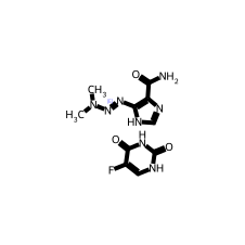 CN(C)/N=N/c1[nH]cnc1C(N)=O.O=c1[nH]cc(F)c(=O)[nH]1